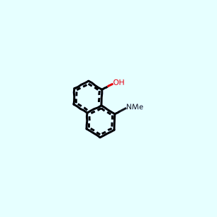 CNc1cccc2cccc(O)c12